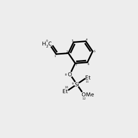 C=Cc1ccccc1O[Si](CC)(CC)OC